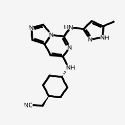 Cc1cc(Nc2nc(N[C@H]3CC[C@H](CC#N)CC3)cc3cncn23)n[nH]1